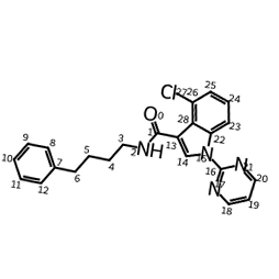 O=C(NCCCCc1ccccc1)c1cn(-c2ncccn2)c2cccc(Cl)c12